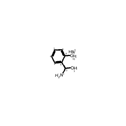 Br.NC(O)c1ccccc1O